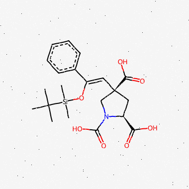 CC(C)(C)[Si](C)(C)O/C(=C\[C@]1(C(=O)O)C[C@@H](C(=O)O)N(C(=O)O)C1)c1ccccc1